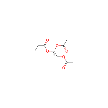 CCC(=O)O[SiH](COC(C)=O)OC(=O)CC